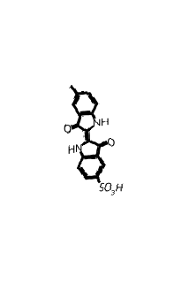 Cc1ccc2c(c1)C(=O)/C(=C1\Nc3ccc(S(=O)(=O)O)cc3C1=O)N2